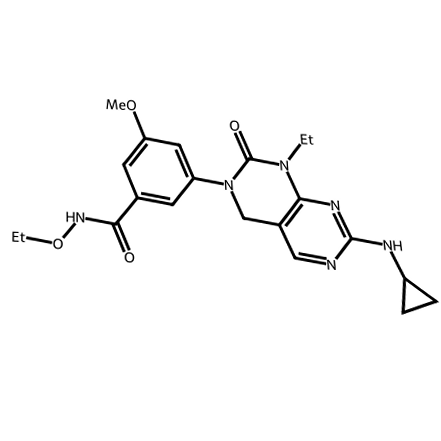 CCONC(=O)c1cc(OC)cc(N2Cc3cnc(NC4CC4)nc3N(CC)C2=O)c1